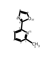 Cc1cccc(-c2ncco2)n1